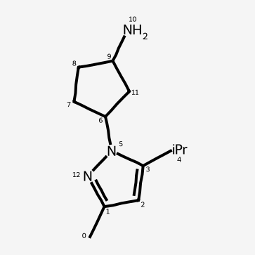 Cc1cc(C(C)C)n(C2CCC(N)C2)n1